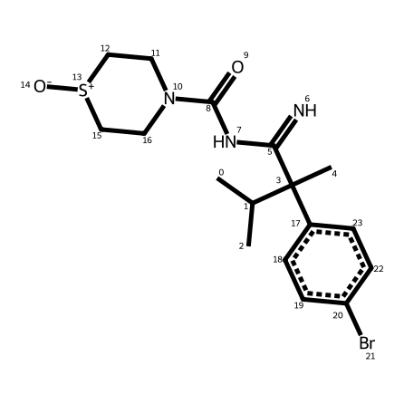 CC(C)C(C)(C(=N)NC(=O)N1CC[S+]([O-])CC1)c1ccc(Br)cc1